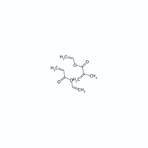 C=COC(=O)C(=C)C.C=COC(=O)C=C